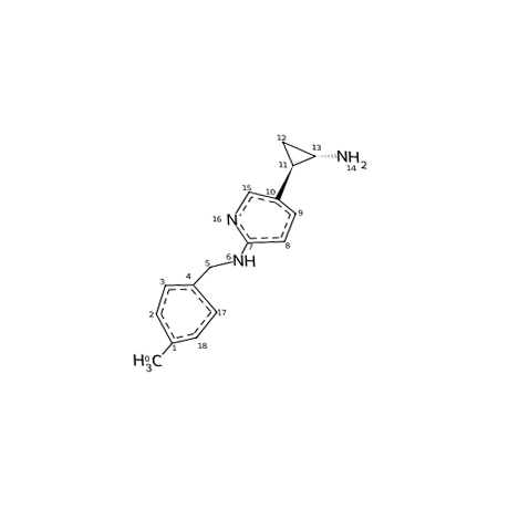 Cc1ccc(CNc2ccc([C@H]3C[C@@H]3N)cn2)cc1